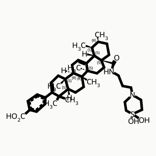 C[C@H]1[C@H](C)CC[C@]2(C(=O)NCCCN3CCS(O)(O)CC3)CC[C@]3(C)C(=CC[C@@H]4[C@@]5(C)CC=C(c6ccc(C(=O)O)cc6)C(C)(C)[C@H]5CC[C@]43C)[C@H]12